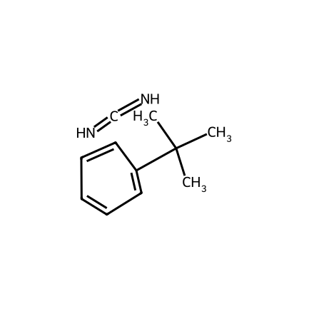 CC(C)(C)c1ccccc1.N=C=N